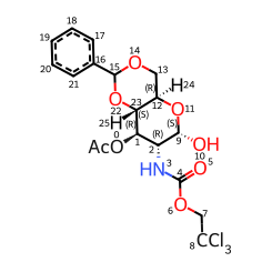 CC(=O)O[C@@H]1[C@@H](NC(=O)OCC(Cl)(Cl)Cl)[C@@H](O)O[C@@H]2COC(c3ccccc3)O[C@@H]12